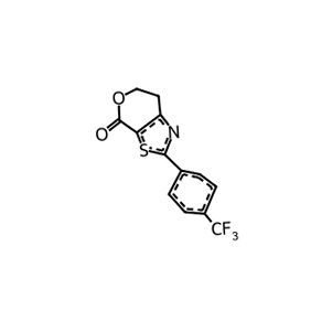 O=C1OCCc2nc(-c3ccc(C(F)(F)F)cc3)sc21